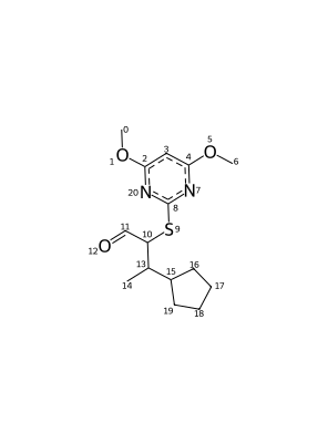 COc1cc(OC)nc(SC(C=O)C(C)C2CCCC2)n1